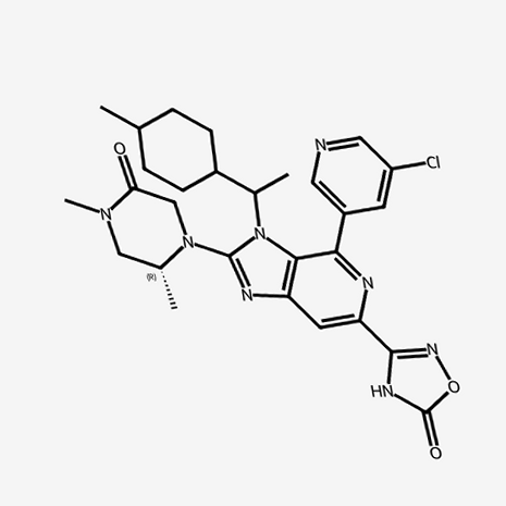 CC1CCC(C(C)n2c(N3CC(=O)N(C)C[C@H]3C)nc3cc(-c4noc(=O)[nH]4)nc(-c4cncc(Cl)c4)c32)CC1